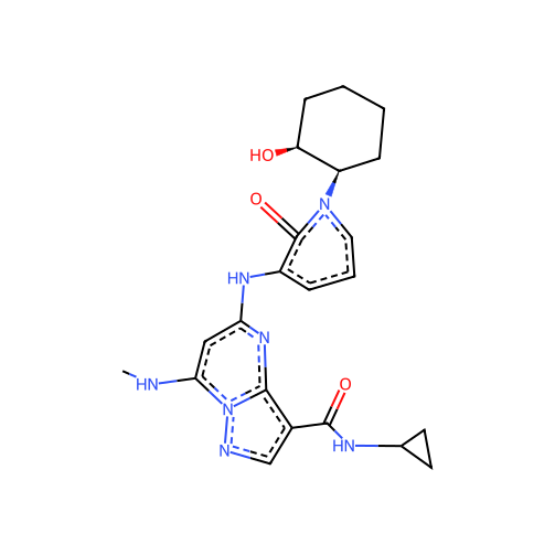 CNc1cc(Nc2cccn([C@@H]3CCCC[C@@H]3O)c2=O)nc2c(C(=O)NC3CC3)cnn12